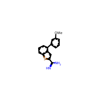 COc1cccc(-c2cccc3sc(C(=N)N)cc23)c1